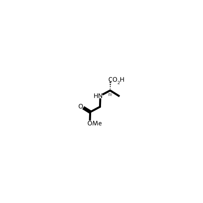 COC(=O)CN[C@@H](C)C(=O)O